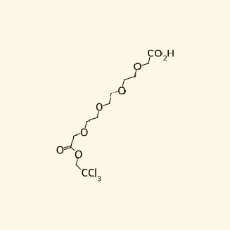 O=C(O)COCCOCCOCCOCC(=O)OCC(Cl)(Cl)Cl